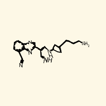 N#Cc1cccc2ncc(/C(C=N)=C/NC3CC(CCCN)C3)nc12